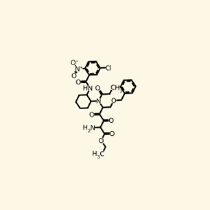 CCOC(=O)C(N)C(=O)C(=O)C(COCc1ccccc1)N(C(=O)CC)C1CCCCC1NC(=O)c1cc(Cl)ccc1[N+](=O)[O-]